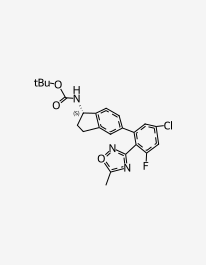 Cc1nc(-c2c(F)cc(Cl)cc2-c2ccc3c(c2)CC[C@@H]3NC(=O)OC(C)(C)C)no1